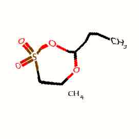 C.CCC1OCCS(=O)(=O)O1